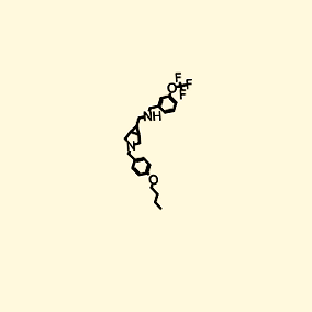 CCCCOc1ccc(CN2CC3C(CNCc4cccc(OC(F)(F)F)c4)C3C2)cc1